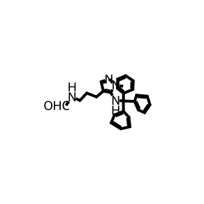 Cn1ncc(CCCNC=O)c1NC(c1ccccc1)(c1ccccc1)c1ccccc1